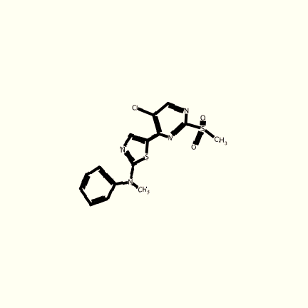 CN(c1ccccc1)c1ncc(-c2nc(S(C)(=O)=O)ncc2Cl)s1